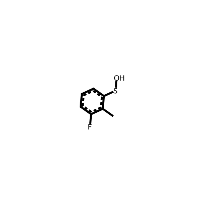 Cc1c(F)cccc1SO